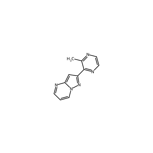 Cc1nccnc1-c1cc2ncccn2n1